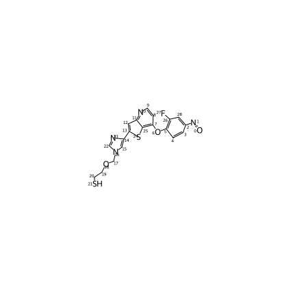 O=Nc1ccc(Oc2ccnc3cc(-c4cn(COCCS)cn4)sc23)c(F)c1